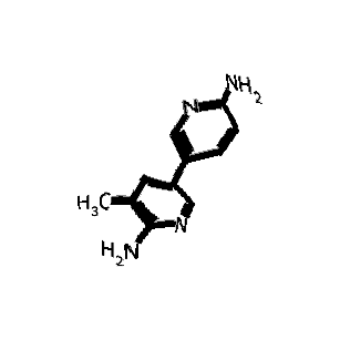 Cc1cc(-c2ccc(N)nc2)cnc1N